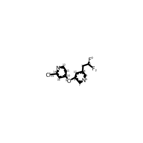 FC(F)Cc1cncc(Oc2ccnc(Cl)c2)c1